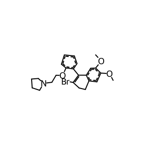 COc1cc2c(cc1OC)C(c1ccccc1OCCN1CCCC1)=C(Br)CC2